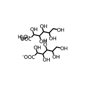 O.O=C([O-])C(O)C(O)C(O)C(O)CO.O=C([O-])C(O)C(O)C(O)C(O)CO.[Cu+2]